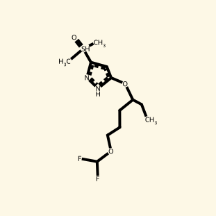 CCC(CCCOC(F)F)Oc1cc([SH](C)(C)=O)n[nH]1